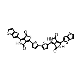 O=C1NC(c2cc3sccc3s2)=C2C(=O)NC(c3ccc(-c4ccc(C5=C6C(=O)NC(c7cc8sccc8s7)=C6C(=O)N5)s4)s3)=C12